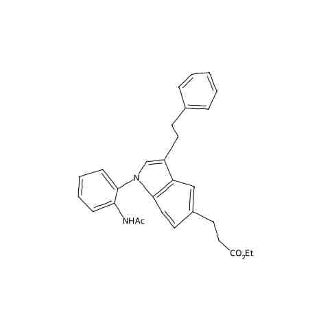 CCOC(=O)CCc1ccc2c(c1)c(CCc1ccccc1)cn2-c1ccccc1NC(C)=O